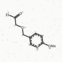 CCC(=O)COCc1ccc(OC)nc1